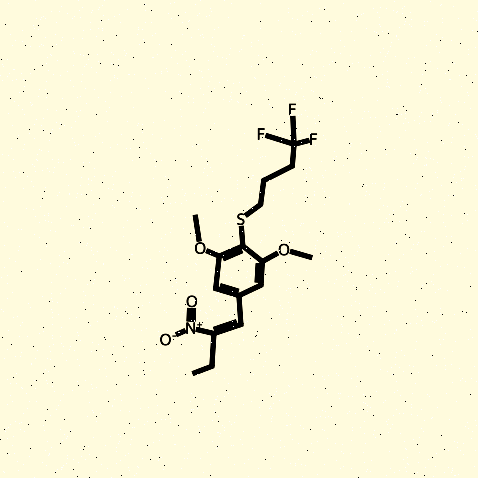 CCC(=Cc1cc(OC)c(SCCCC(F)(F)F)c(OC)c1)[N+](=O)[O-]